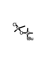 CC(C)(C)[Si](C)(C)O[Si](C)(C)Cl